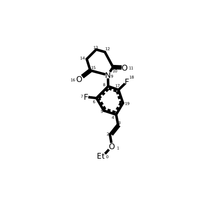 CCOC=Cc1cc(F)c(N2C(=O)CCCC2=O)c(F)c1